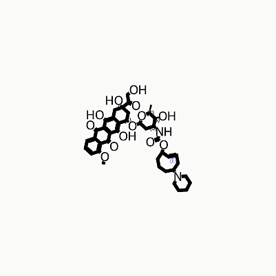 COc1cccc2c1C(=O)c1c(O)c3c(c(O)c1C2=O)C[C@@](O)(C(=O)CO)C[C@@H]3OC1C[C@H](NC(=O)OC2/C=C/CC(N3CCCCC3)CCC2)[C@H](O)[C@H](C)O1